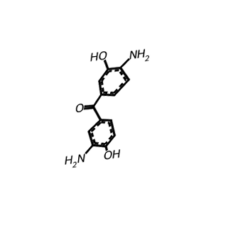 Nc1cc(C(=O)c2ccc(N)c(O)c2)ccc1O